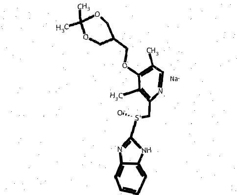 Cc1cnc(C[S@@+]([O-])c2nc3ccccc3[nH]2)c(C)c1OCC1COC(C)(C)OC1.[Na]